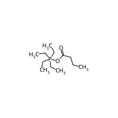 CCCC(=O)OP(CC)(CC)(CC)CC